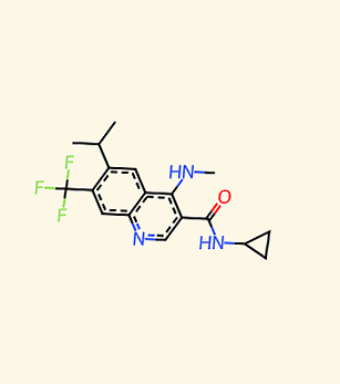 CNc1c(C(=O)NC2CC2)cnc2cc(C(F)(F)F)c(C(C)C)cc12